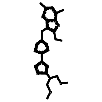 CCc1nn2c(C)cc(C)nc2c1Cc1ccc(-n2cc(C(COC)COC)nn2)cc1